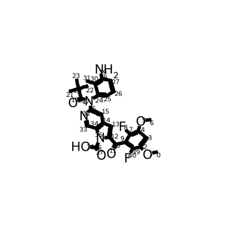 COc1cc(OC)c(F)c(C(=O)c2cc3cc(N(C(=O)C(C)(C)C)c4cccc(N)c4C)ncc3n2C(=O)O)c1F